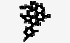 Cc1nc(F)ccc1C(Nc1cc(Cl)c2ncc(C#N)c(NCC(C)(C)C)c2c1)C1=CN(C)NN1